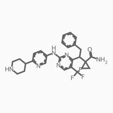 NC(=O)C1(C(Cc2ccccc2)c2nc(Nc3ccc(C4CCNCC4)nc3)ncc2C(F)(F)F)CC1